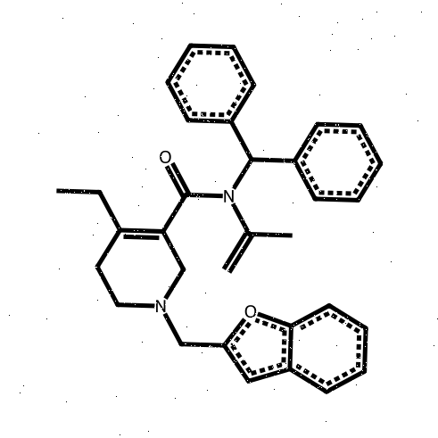 C=C(C)N(C(=O)C1=C(CC)CCN(Cc2cc3ccccc3o2)C1)C(c1ccccc1)c1ccccc1